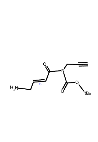 C#CCN(C(=O)/C=C/CN)C(=O)OC(C)(C)C